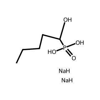 CCCCC(O)P(=O)(O)O.[NaH].[NaH]